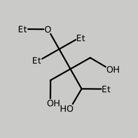 CCOC(CC)(CC)C(CO)(CO)C(O)CC